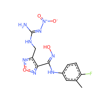 Cc1cc(NC(=NO)c2nonc2CNC(N)=N[N+](=O)[O-])ccc1F